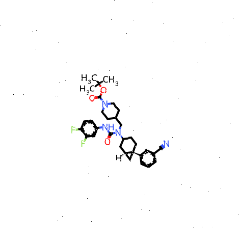 CC(C)(C)OC(=O)N1CCC(CN(C(=O)Nc2ccc(F)c(F)c2)C2CC[C@]3(c4cccc(C#N)c4)C[C@H]3C2)CC1